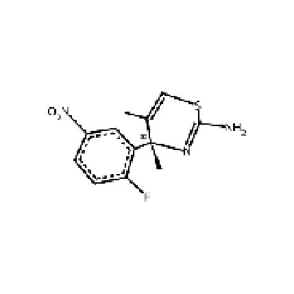 CC1=CSC(N)=N[C@]1(C)c1cc([N+](=O)[O-])ccc1F